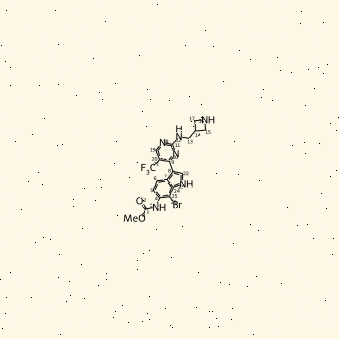 COC(=O)Nc1ccc2c(-c3nc(NCC4CNC4)ncc3C(F)(F)F)c[nH]c2c1Br